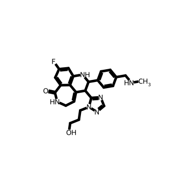 CNCc1ccc(C2Nc3cc(F)cc4c3C(=CCNC4=O)C2c2ncnn2CCCO)cc1